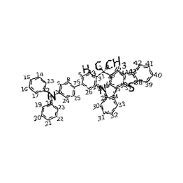 CC1(C)c2ccc(-c3ccc(N(c4ccccc4)c4ccccc4)cc3)cc2-n2c3ccccc3c3c4sc5ccccc5c4cc1c32